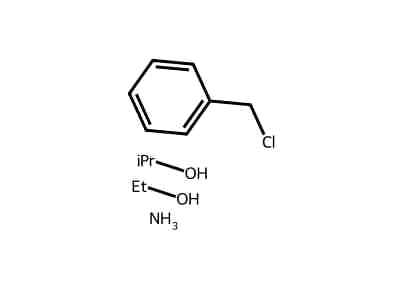 CC(C)O.CCO.ClCc1ccccc1.N